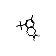 Cc1cc2c(c(C(C)(C)C)c1)OCS(=O)(=O)C2